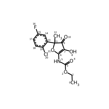 CCOC(=O)NC1=C(O)C(=O)C(C)(c2cc(F)ccc2Cl)O1